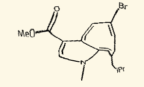 COC(=O)c1cn(C)c2c(C(C)C)cc(Br)cc12